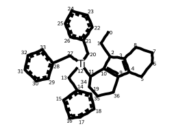 CCC1C2=C(CCCC2)C2=C1[CH]([Ti]([CH2]c1ccccc1)([CH2]c1ccccc1)[CH2]c1ccccc1)CCC2